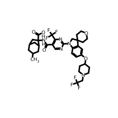 CC1CC2CC(C1)C(NC(=O)c1cnc(N3CC4(CCOCC4)c4cc(OC5CCN(CC(F)(F)F)CC5)ccc43)nc1C(F)(F)F)(C(=O)O)C2